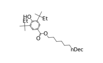 CCCCCCCCCCCCCCCCOC(=O)c1cc(C(C)(C)CC)c(O)c(C(C)(C)CC)c1